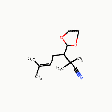 CC(C)=CCC(C1OCCO1)C(C)(C)C#N